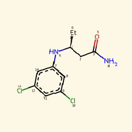 CC[C@@H](CC(N)=O)Nc1cc(Cl)cc(Cl)c1